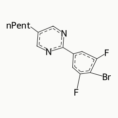 CCCCCc1cnc(-c2cc(F)c(Br)c(F)c2)nc1